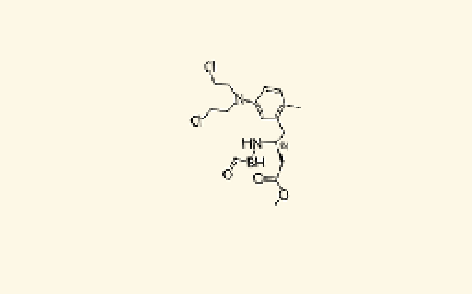 COC(=O)C[C@H](Cc1cc(N(CCCl)CCCl)ccc1C)NBC=O